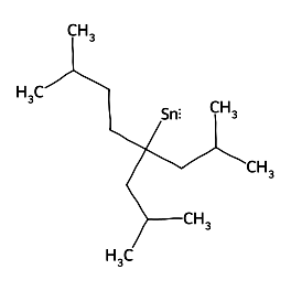 CC(C)CC[C]([Sn])(CC(C)C)CC(C)C